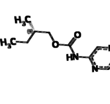 CC[C@H](C)COC(=O)Nc1cnccn1